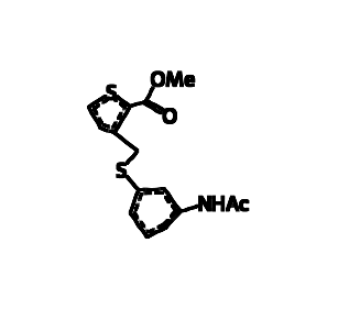 COC(=O)c1sccc1CSc1cccc(NC(C)=O)c1